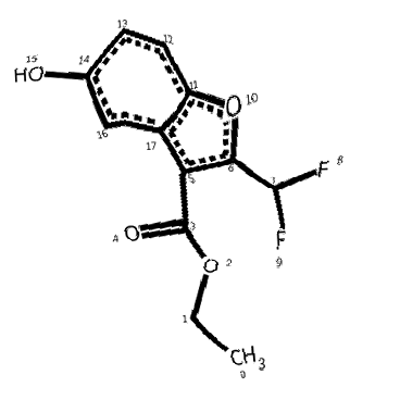 CCOC(=O)c1c(C(F)F)oc2ccc(O)cc12